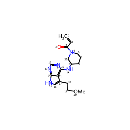 C=CC(=O)N1CCCC(Nc2ncnc3[nH]cc(CCOC)c23)C1